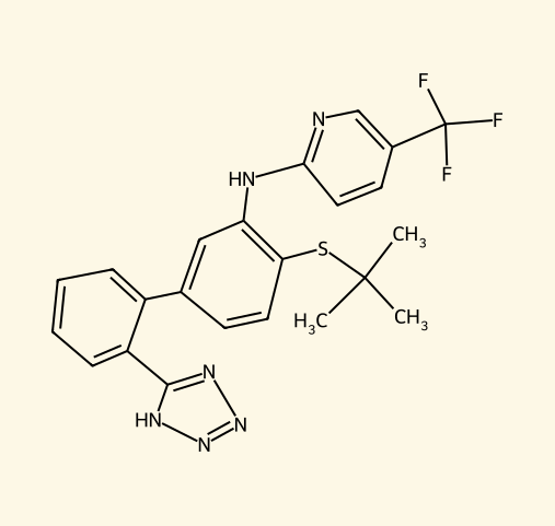 CC(C)(C)Sc1ccc(-c2ccccc2-c2nnn[nH]2)cc1Nc1ccc(C(F)(F)F)cn1